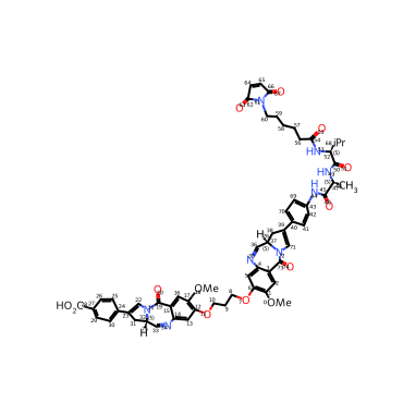 COc1cc2c(cc1OCCCOc1cc3c(cc1OC)C(=O)N1C=C(c4ccc(C(=O)O)cc4)C[C@H]1C=N3)N=C[C@@H]1CC(c3ccc(NC(=O)[C@H](C)NC(=O)[C@@H](NC(=O)CCCCCN4C(=O)C=CC4=O)C(C)C)cc3)=CN1C2=O